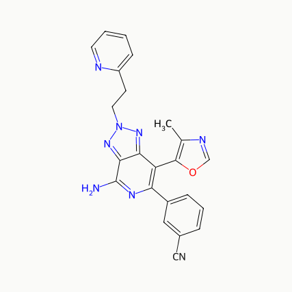 Cc1ncoc1-c1c(-c2cccc(C#N)c2)nc(N)c2nn(CCc3ccccn3)nc12